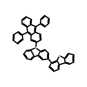 c1ccc(-c2c3ccccc3c(-c3ccccc3)c3cc(-n4c5ccccc5c5cc(-c6cccc7c6oc6ccccc67)ccc54)ccc23)cc1